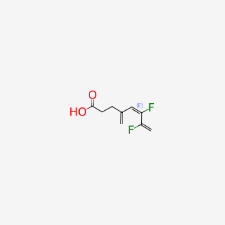 C=C(/C=C(/F)C(=C)F)CCC(=O)O